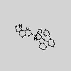 c1ccc2c(c1)-c1ccccc1C21c2ccccc2-c2nc(-c3cnc4c(ccc5cccnc54)c3)c3ccccc3c21